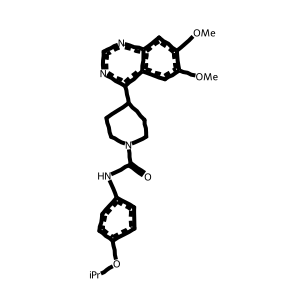 COc1cc2ncnc(C3CCN(C(=O)Nc4ccc(OC(C)C)cc4)CC3)c2cc1OC